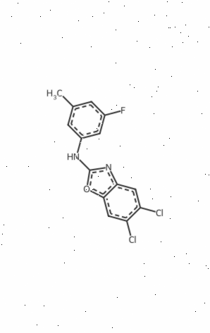 Cc1cc(F)cc(Nc2nc3cc(Cl)c(Cl)cc3o2)c1